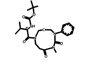 CC(C)[C@@H](NC(=O)OC(C)(C)C)C(=O)N1CCCN(c2ccccc2)C(=O)N(C)C(=O)CC1